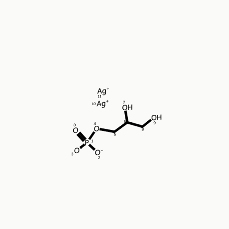 O=P([O-])([O-])OCC(O)CO.[Ag+].[Ag+]